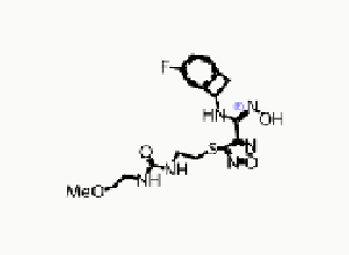 COCCNC(=O)NCCSc1nonc1/C(=N\O)NC1Cc2ccc(F)cc21